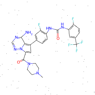 CN1CCN(C(=O)c2cc(-c3ccc(NC(=O)Nc4cc(C(F)(F)F)ccc4F)c(F)c3)c3c(N)ncnn23)CC1